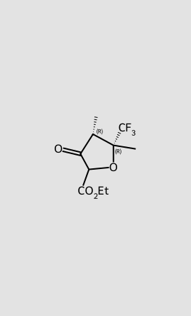 CCOC(=O)C1O[C@@](C)(C(F)(F)F)[C@@H](C)C1=O